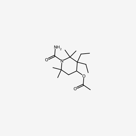 CCC1(CC)C(OC(C)=O)CC(C)(C)N(C(N)=O)C1(C)C